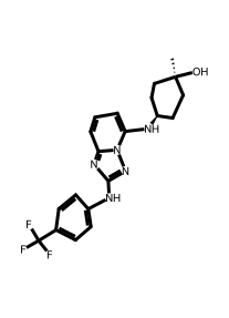 C[C@]1(O)CC[C@@H](Nc2cccc3nc(Nc4ccc(C(F)(F)F)cc4)nn23)CC1